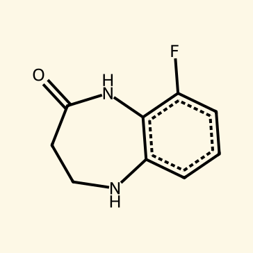 O=C1CCNc2cccc(F)c2N1